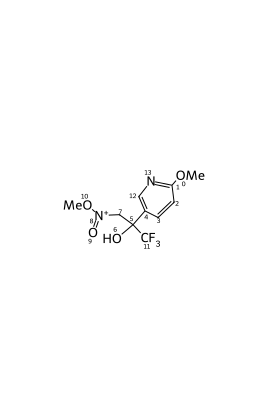 COc1ccc(C(O)(C[N+](=O)OC)C(F)(F)F)cn1